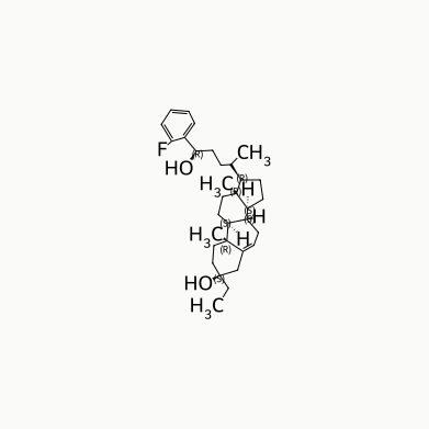 CC[C@]1(O)CC[C@@]2(C)C(=CC[C@H]3[C@@H]4CC[C@H](C(C)CC[C@@H](O)c5ccccc5F)[C@@]4(C)CC[C@@H]32)C1